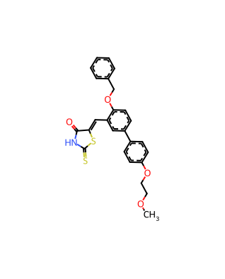 COCCOc1ccc(-c2ccc(OCc3ccccc3)c(C=C3SC(=S)NC3=O)c2)cc1